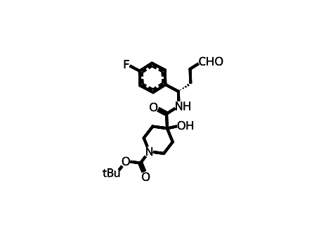 CC(C)(C)OC(=O)N1CCC(O)(C(=O)N[C@@H](CCC=O)c2ccc(F)cc2)CC1